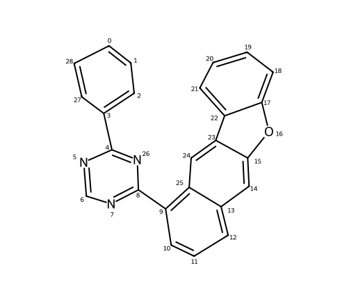 c1ccc(-c2ncnc(-c3cccc4cc5oc6ccccc6c5cc34)n2)cc1